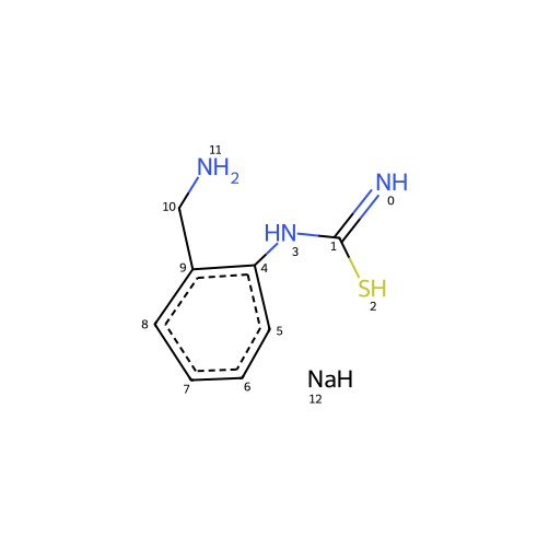 N=C(S)Nc1ccccc1CN.[NaH]